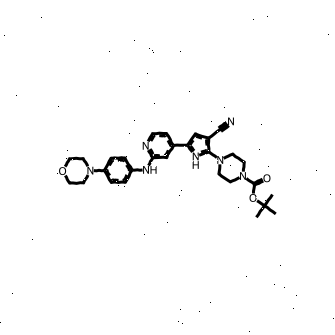 CC(C)(C)OC(=O)N1CCN(c2[nH]c(-c3ccnc(Nc4ccc(N5CCOCC5)cc4)c3)cc2C#N)CC1